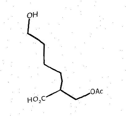 CC(=O)OCC(CCCCO)C(=O)O